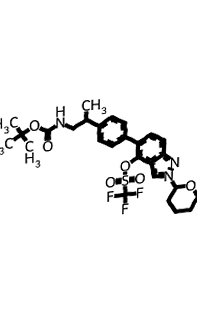 CC(CNC(=O)OC(C)(C)C)c1ccc(-c2ccc3nn(C4CCCCO4)cc3c2OS(=O)(=O)C(F)(F)F)cc1